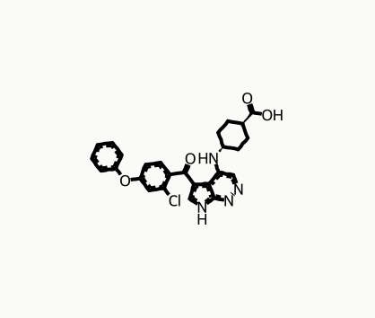 O=C(c1ccc(Oc2ccccc2)cc1Cl)c1c[nH]c2nncc(N[C@H]3CC[C@H](C(=O)O)CC3)c12